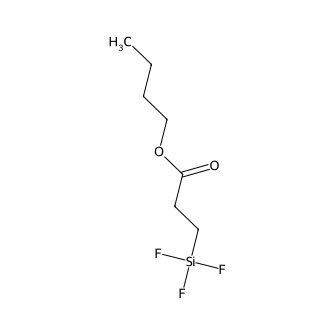 CCCCOC(=O)CC[Si](F)(F)F